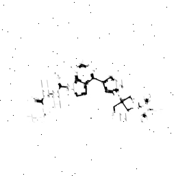 CCS(=O)(=O)N1CC(CC#N)(n2cc(-c3ncnc4c3ccn4C(=O)NNC(=O)OC(C)(C)C)cn2)C1